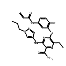 C=CC(=O)Nc1ccc(F)c(Oc2nc(Nc3cnn(CCC)c3)c(C(N)=O)nc2CC)c1